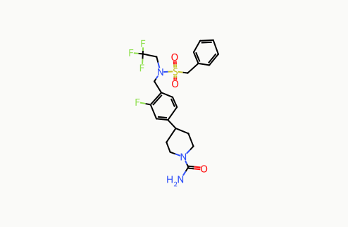 NC(=O)N1CCC(c2ccc(CN(CC(F)(F)F)S(=O)(=O)Cc3ccccc3)c(F)c2)CC1